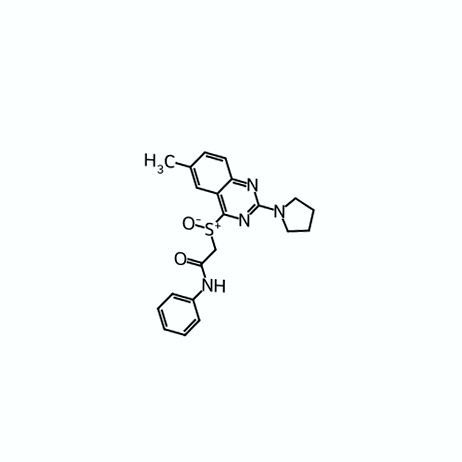 Cc1ccc2nc(N3CCCC3)nc([S+]([O-])CC(=O)Nc3ccccc3)c2c1